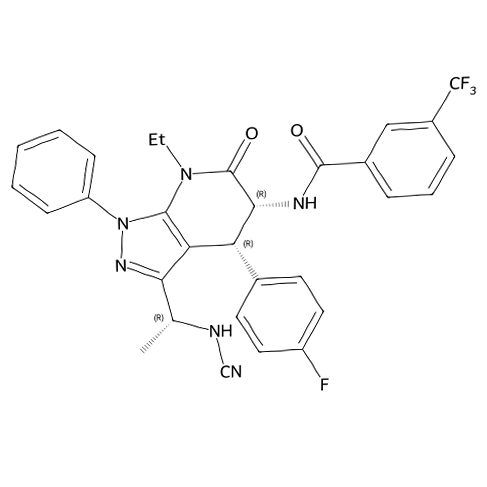 CCN1C(=O)[C@H](NC(=O)c2cccc(C(F)(F)F)c2)[C@H](c2ccc(F)cc2)c2c([C@@H](C)NC#N)nn(-c3ccccc3)c21